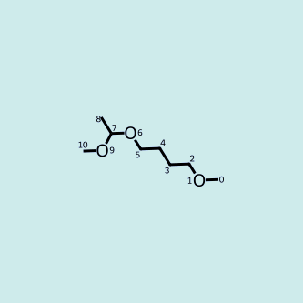 COCCCCOC(C)OC